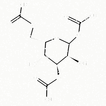 CC(=O)OC[C@@H]1OC(OC(C)=O)[C@@H](O)[C@@H](OC(C)=O)[C@@H]1O